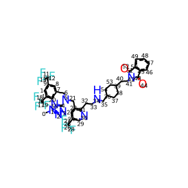 Cn1nnc(N(Cc2cc(C(F)(F)F)cc(C(F)(F)F)c2)Cc2cc(C(F)(F)F)cnc2CCNCC2CCC(CCN3C(=O)c4ccccc4C3=O)CC2)n1